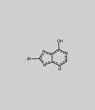 CC(C)c1nc2[nH]cnc(O)c-2n1